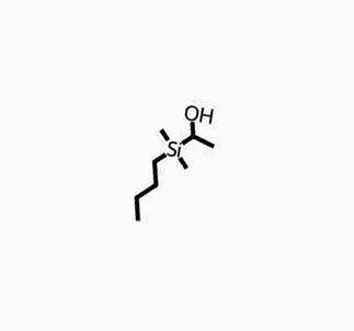 CCCC[Si](C)(C)C(C)O